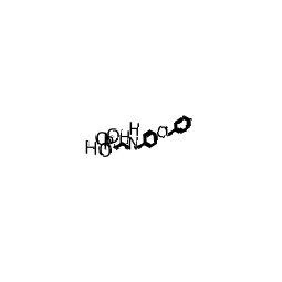 O=P(O)(O)CCCNCc1ccc(OCc2ccccc2)cc1